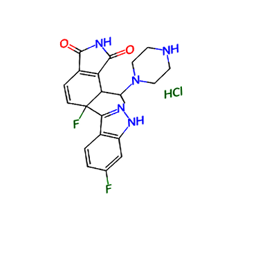 CC(C1C2=C(C=CC1(F)c1n[nH]c3cc(F)ccc13)C(=O)NC2=O)N1CCNCC1.Cl